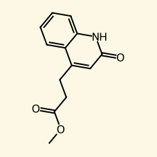 COC(=O)CCc1cc(=O)[nH]c2ccccc12